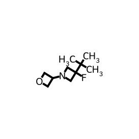 CC(C)(C)C1(F)CN(C2COC2)C1